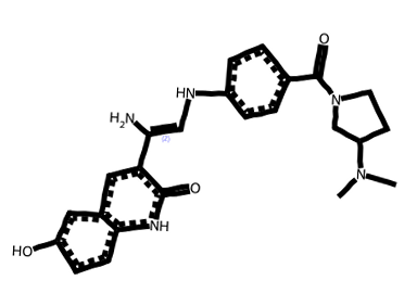 CN(C)C1CCN(C(=O)c2ccc(N/C=C(\N)c3cc4cc(O)ccc4[nH]c3=O)cc2)C1